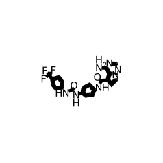 Nc1ncnn2ccc(C(=O)Nc3ccc(NC(=O)Nc4ccc(C(F)(F)F)cc4)cc3)c12